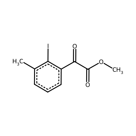 COC(=O)C(=O)c1cccc(C)c1I